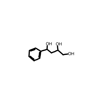 OCC(O)CC(O)c1ccccc1